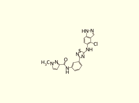 Cn1ccc(C(=O)Nc2cccc(-c3nsc(Nc4ccc5[nH]ncc5c4Cl)n3)c2)n1